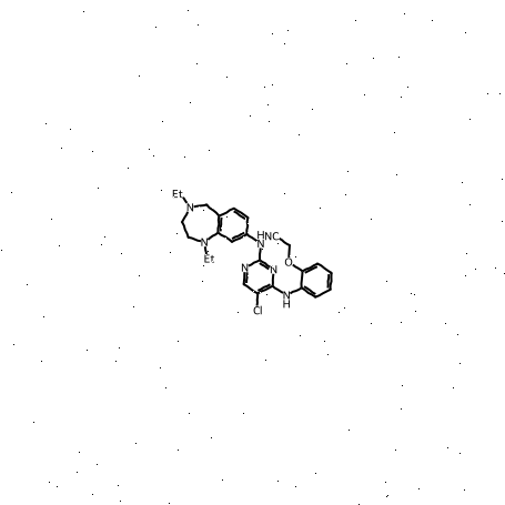 CCN1CCN(CC)c2cc(Nc3ncc(Cl)c(Nc4ccccc4OCC#N)n3)ccc2C1